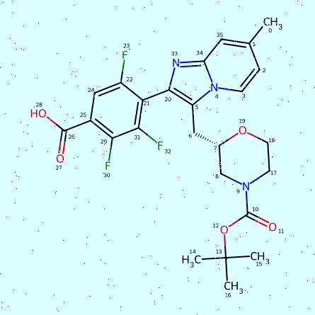 Cc1ccn2c(C[C@H]3CN(C(=O)OC(C)(C)C)CCO3)c(-c3c(F)cc(C(=O)O)c(F)c3F)nc2c1